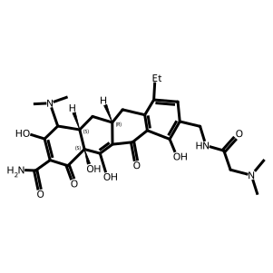 CCc1cc(CNC(=O)CN(C)C)c(O)c2c1C[C@H]1C[C@H]3C(N(C)C)C(O)=C(C(N)=O)C(=O)[C@@]3(O)C(O)=C1C2=O